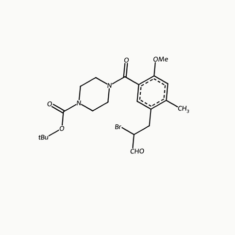 COc1cc(C)c(CC(Br)C=O)cc1C(=O)N1CCN(C(=O)OC(C)(C)C)CC1